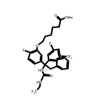 COC(=O)CCCCCOc1cc(C(Cc2ccccc2)(NC(=O)NCC(F)(F)F)c2cc(F)cc(C(F)(F)F)c2)ccc1F